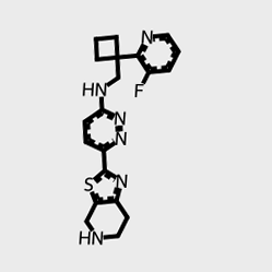 Fc1cccnc1C1(CNc2ccc(-c3nc4c(s3)CNCC4)nn2)CCC1